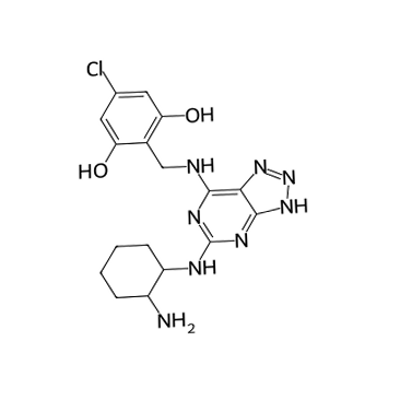 NC1CCCCC1Nc1nc(NCc2c(O)cc(Cl)cc2O)c2nn[nH]c2n1